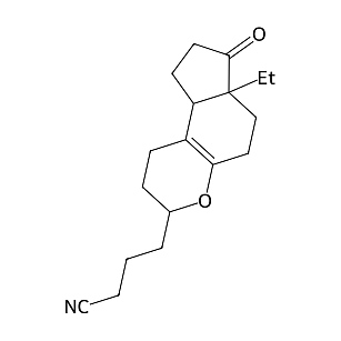 CCC12CCC3=C(CCC(CCCC#N)O3)C1CCC2=O